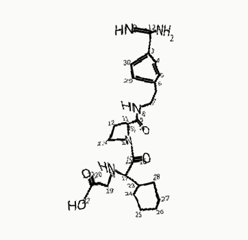 N=C(N)c1ccc(CNC(=O)[C@@H]2CCN2C(=O)C(NCC(=O)O)C2CCCCC2)cc1